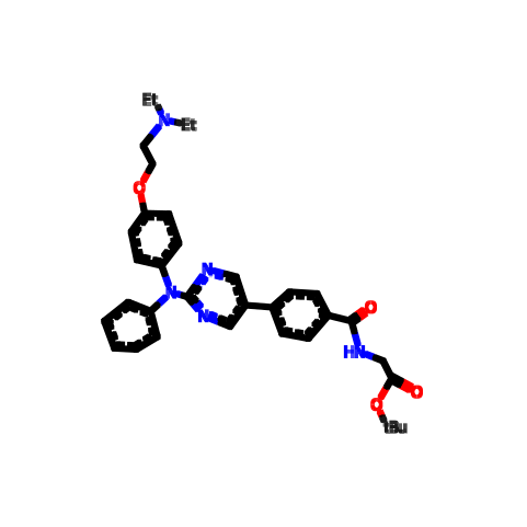 CCN(CC)CCOc1ccc(N(c2ccccc2)c2ncc(-c3ccc(C(=O)NCC(=O)OC(C)(C)C)cc3)cn2)cc1